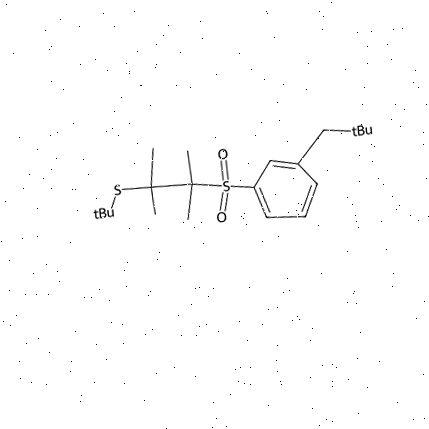 CC(C)(C)Cc1cccc(S(=O)(=O)C(C)(C)C(C)(C)SC(C)(C)C)c1